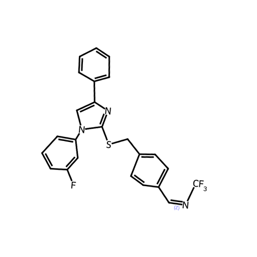 Fc1cccc(-n2cc(-c3ccccc3)nc2SCc2ccc(/C=N\C(F)(F)F)cc2)c1